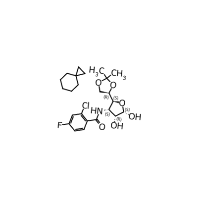 C1CCC2(CC1)CC2.CC1(C)OC[C@H]([C@H]2O[C@H](O)[C@H](O)[C@@H]2NC(=O)c2ccc(F)cc2Cl)O1